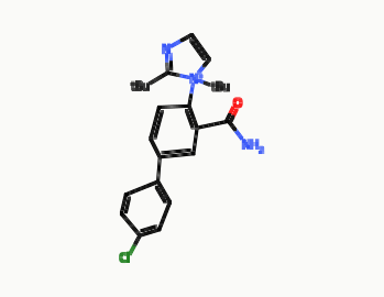 CC(C)(C)C1=NC=C[N+]1(c1ccc(-c2ccc(Cl)cc2)cc1C(N)=O)C(C)(C)C